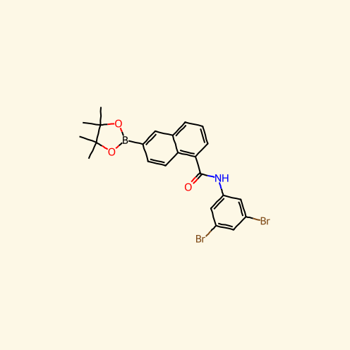 CC1(C)OB(c2ccc3c(C(=O)Nc4cc(Br)cc(Br)c4)cccc3c2)OC1(C)C